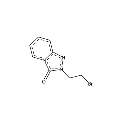 O=c1n(CCBr)nc2ccccn12